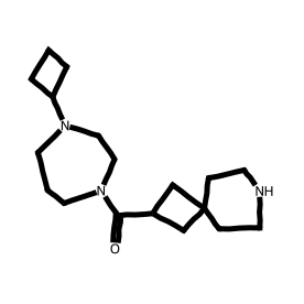 O=C(C1CC2(CCNCC2)C1)N1CCCN(C2CCC2)CC1